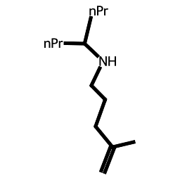 C=C(C)CCCNC(CCC)CCC